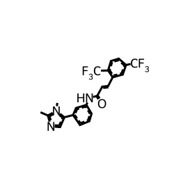 Cc1ncc(-c2cccc(NC(=O)C=Cc3cc(C(F)(F)F)ccc3C(F)(F)F)c2)n1C